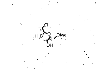 BC(O[C@H](COC)[C@@H](C)O)[C@H](C)Cl